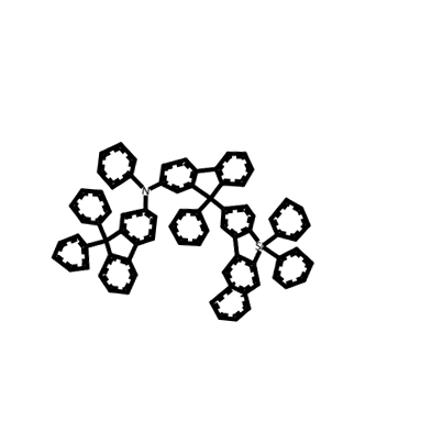 c1ccc(N(c2ccc3c(c2)C(c2ccccc2)(c2ccccc2)c2ccccc2-3)c2ccc3c(c2)C(c2ccccc2)(c2ccc4c(c2)-c2cc5ccccc5cc2[Si]4(c2ccccc2)c2ccccc2)c2ccccc2-3)cc1